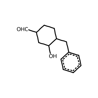 O=CC1CCC(Cc2ccccc2)C(O)C1